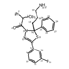 CC(C)C(O)C(=O)N1N=C(c2cccc(F)c2)SC1(CCCN)c1ccccc1